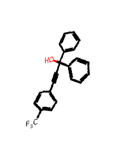 OC(C#Cc1ccc(C(F)(F)F)cc1)(c1ccccc1)c1ccccc1